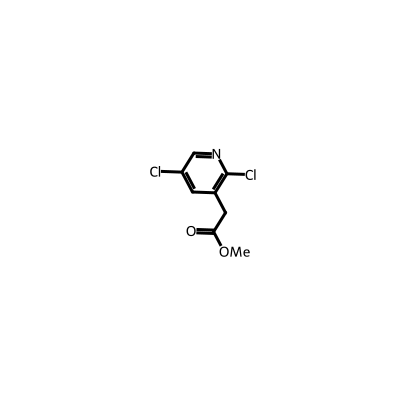 COC(=O)Cc1cc(Cl)cnc1Cl